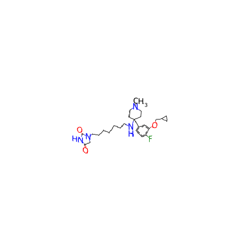 CN1CCC(NCCCCCCCN2CC(=O)NC2=O)(c2ccc(F)c(OCC3CC3)c2)CC1